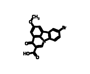 COc1cc2c(=O)c(C(=O)O)cn3c4ccc(Br)cc4c(c1)c23